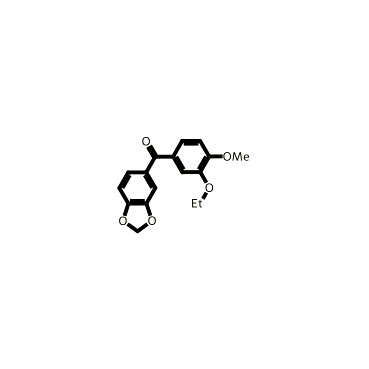 CCOc1cc(C(=O)c2ccc3c(c2)OCO3)ccc1OC